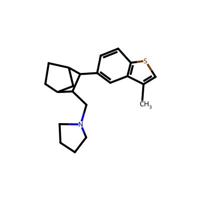 Cc1csc2ccc(C3C4CCC(C4)C3CN3CCCC3)cc12